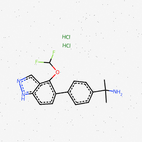 CC(C)(N)c1ccc(-c2ccc3[nH]ncc3c2OC(F)F)cc1.Cl.Cl